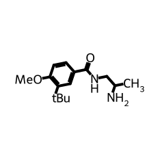 COc1ccc(C(=O)NCC(C)N)cc1C(C)(C)C